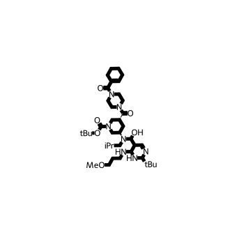 COCCCNC1NC(C(C)(C)C)N=CC1C(O)N(CC(C)C)[C@H]1C[C@@H](C(=O)N2CCN(C(=O)C3=CCCCC3)CC2)CN(C(=O)OC(C)(C)C)C1